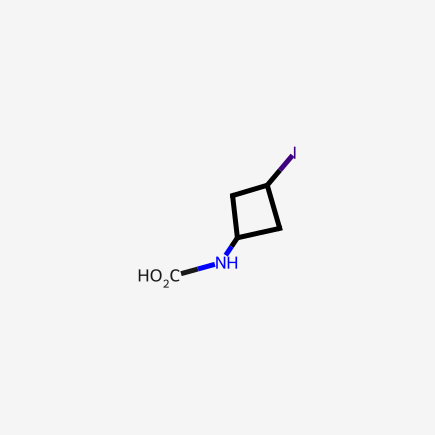 O=C(O)NC1CC(I)C1